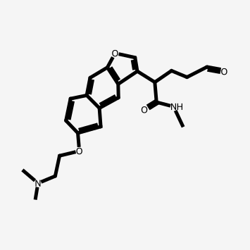 CNC(=O)C(CCC=O)c1coc2cc3ccc(OCCN(C)C)cc3cc12